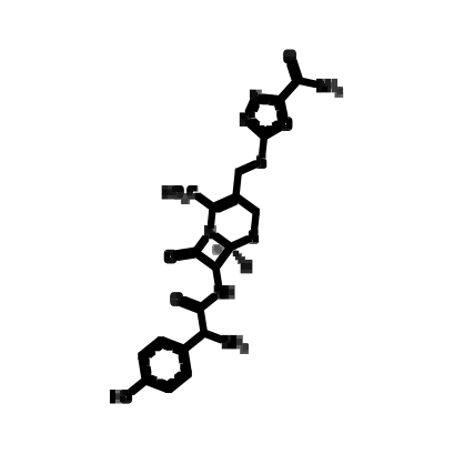 NC(=O)c1nnc(SCC2=C(C(=O)O)N3C(=O)C(NC(=O)C(N)c4ccc(O)cc4)[C@@H]3SC2)o1